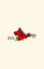 CCOC(=O)/C(Cl)=C/c1cc(N2C(=O)C3=C(CCCC3)C2=O)ccc1Cl.COc1c(Cl)ccc(Cl)c1C(=O)O.C[S+](C)C.O=C(Nc1nc(OC(F)F)cc(OC(F)F)n1)NS(=O)(=O)c1ccccc1C(=O)O.O=C(O)CNCP(=O)([O-])O